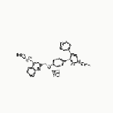 Cl.Cl.Cn1cc(-c2ccncc2)c(-c2ccc(OCc3cc(C(=O)O)c4ccccc4n3)cc2)n1